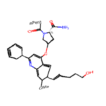 CCCCCC(=O)N1CC(Oc2cc(C3C=CC=CC3)nc3c2=CC(C=CCCCO)C(OC)C=3)C[C@H]1C(N)=O